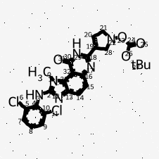 Cn1c(Nc2c(Cl)cccc2Cl)nc2ccc3nc(C4=CCN(OC(=O)OC(C)(C)C)C4)[nH]c(=O)c3c21